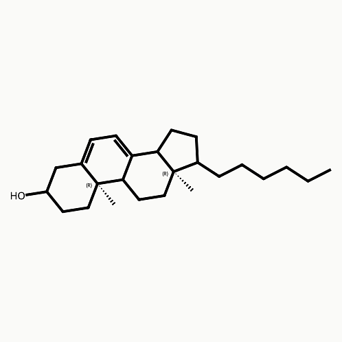 CCCCCCC1CCC2C3=CC=C4CC(O)CC[C@]4(C)C3CC[C@]12C